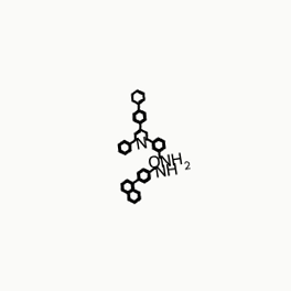 N=C(OC(N)c1cccc(C2CC(c3ccc(C4=CC=CCC4)cc3)=CC(c3ccccc3)=N2)c1)c1ccc(-c2cccc3ccccc23)cc1